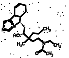 CCCC(C)(CCN(CC)C(C)=O)[C@H](O)C[C@H]1C2CCC=CC2c2cncn21